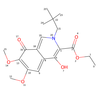 CCOC(=O)c1c(O)c2cc(OC)c(OC)c(=O)c-2cn1CC(C)(C)C